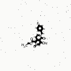 CCOC(=O)c1c2c(c(O)c[n+]1[O-])C(=O)N(Cc1ccc(F)cc1)CC2